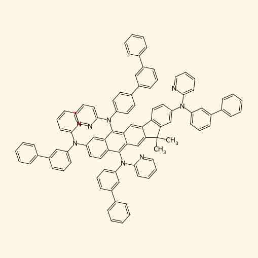 CC1(C)c2cc(N(c3cccc(-c4ccccc4)c3)c3ccccn3)ccc2-c2cc3c(N(c4ccc(-c5cccc(-c6ccccc6)c5)cc4)c4ccccn4)c4cc(N(c5cccc(-c6ccccc6)c5)c5ccccn5)ccc4c(N(c4cccc(-c5ccccc5)c4)c4ccccn4)c3cc21